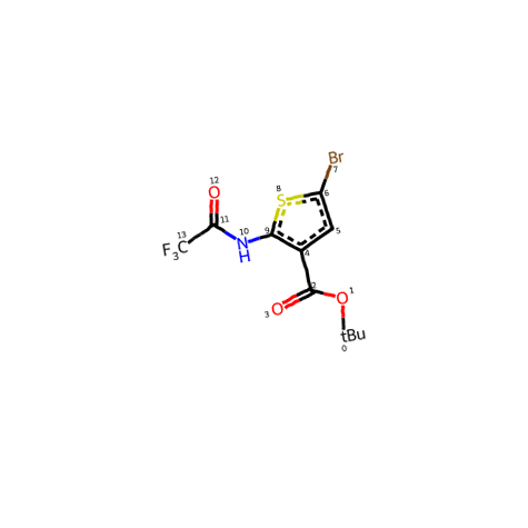 CC(C)(C)OC(=O)c1cc(Br)sc1NC(=O)C(F)(F)F